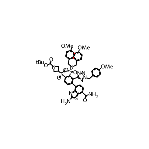 COc1ccc(CN(Cc2ccc(OC)cc2)S(=O)(=O)c2c(S(=O)(=O)C3CN(C(=O)OC(C)(C)C)C3)ccc(-c3ccc(C(N)=O)c4sc(N)nc34)c2-c2nnn(Cc3ccc(OC)cc3)n2)cc1